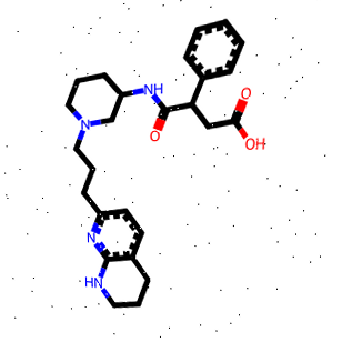 O=C(O)CC(C(=O)NC1CCCN(CCCc2ccc3c(n2)NCCC3)C1)c1ccccc1